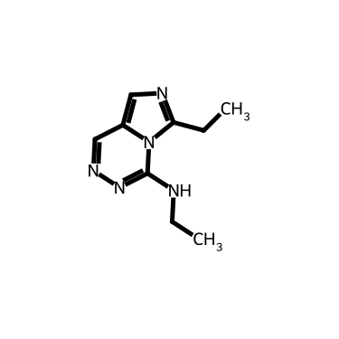 CCNc1nncc2cnc(CC)n12